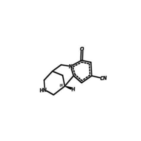 N#Cc1cc2n(c(=O)c1)CC1CNC[C@@H]2C1